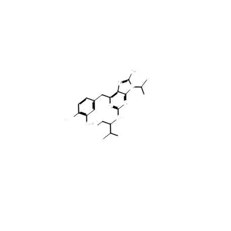 CC(C)C(CO)Nc1nc(Cc2ccc(O)c(O)c2)c2nc(N)n(C(C)C)c2n1